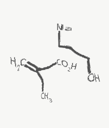 C=C(C)C(=O)O.OC[CH2][Na]